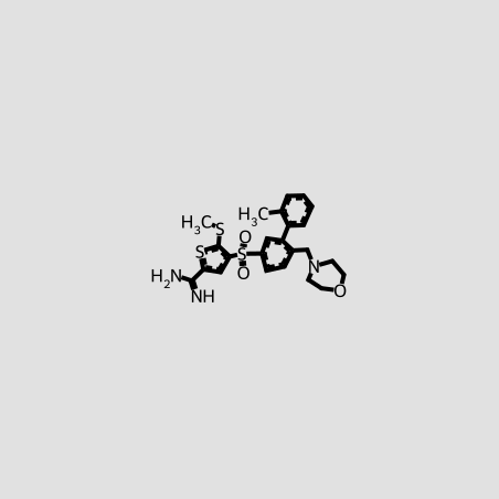 CSc1sc(C(=N)N)cc1S(=O)(=O)c1ccc(CN2CCOCC2)c(-c2ccccc2C)c1